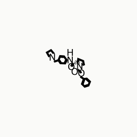 O=C(Nc1ccc(CN2CCCC2)cc1)[C@@H]1CCCN1C(=O)OCc1ccccc1